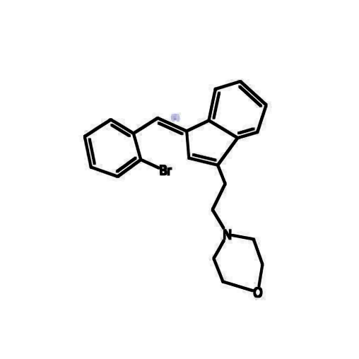 Brc1ccccc1/C=C1\C=C(CCN2CCOCC2)c2ccccc21